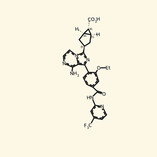 CCOc1cc(C(=O)Nc2cc(C(F)(F)F)ccn2)ccc1-c1nc([C@H]2C[C@@H]3[C@H](C2)[C@H]3C(=O)O)n2ccnc(N)c12